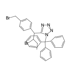 CCC(Br)C(c1ccc(CBr)cc1)c1nnnn1C(c1ccccc1)(c1ccccc1)c1ccccc1